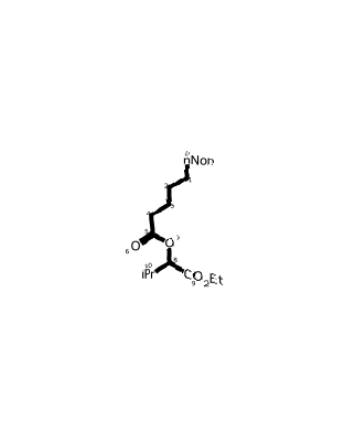 CCCCCCCCCCCCCC(=O)OC(C(=O)OCC)C(C)C